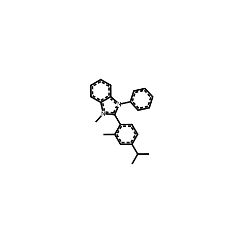 Cc1cc(C(C)C)ccc1-c1n(-c2ccccc2)c2ccccc2[n+]1C